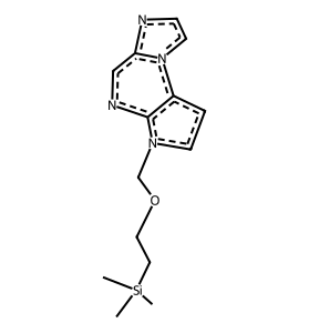 C[Si](C)(C)CCOCn1ccc2c1ncc1nccn12